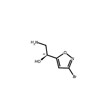 NC[C@H](O)c1cc(Br)no1